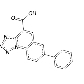 O=C(O)c1cc2cc(-c3ccccc3)ccc2n2nnnc12